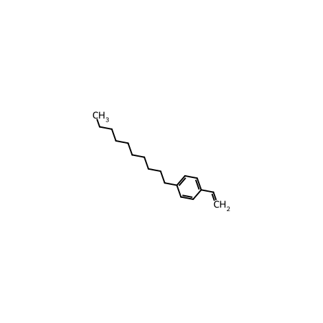 C=Cc1ccc(CCCCCCCCCC)cc1